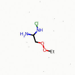 CCOOCC(N)NCl